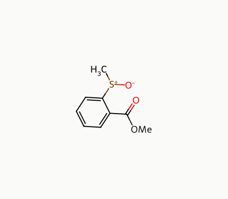 COC(=O)c1ccccc1[S+](C)[O-]